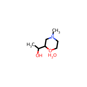 CC(O)C1CN(C)CCO1.O